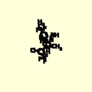 C[C@H](NC(=O)c1cc(Cl)cc(C(F)(F)F)c1)/C(=N/C=N)Nc1ccc(C(C)(F)F)cn1